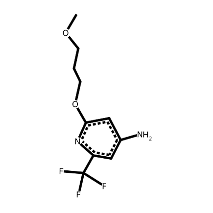 COCCCOc1cc(N)cc(C(F)(F)F)n1